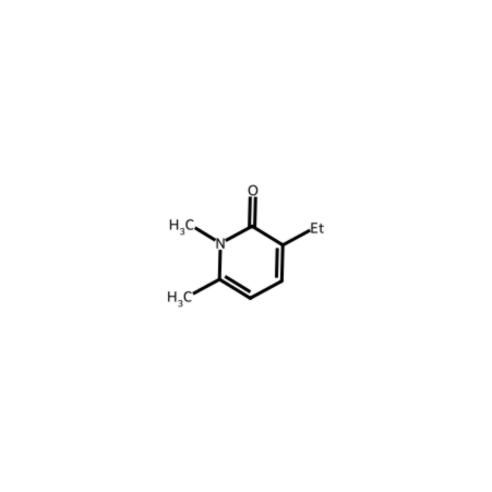 CCc1ccc(C)n(C)c1=O